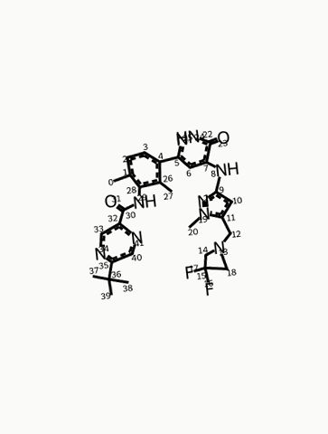 Cc1ccc(-c2cc(Nc3cc(CN4CC(F)(F)C4)n(C)n3)c(=O)[nH]n2)c(C)c1NC(=O)c1cnc(C(C)(C)C)cn1